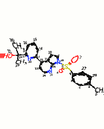 Cc1ccc(S(=O)(=O)n2ccc3c(-c4cccc(C(C)(C)O)n4)ccnc32)cc1